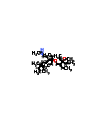 CCC(COC(CC)(CC)[C@@H](CCNC)CCC(C)(CC)CC)C(CC)(CC)OC